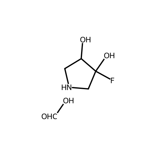 O=CO.OC1CNCC1(O)F